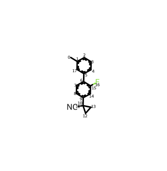 Cc1cccc(-c2ccc(C3(C#N)CC3)cc2F)c1